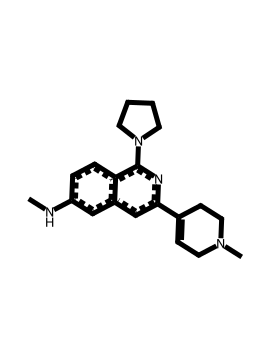 CNc1ccc2c(N3CCCC3)nc(C3=CCN(C)CC3)cc2c1